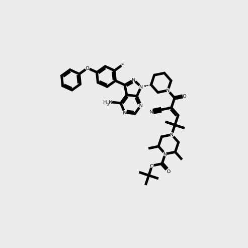 CC1CN(C(C)(C)/C=C(\C#N)C(=O)N2CCC[C@@H](n3nc(-c4ccc(Oc5ccccc5)cc4F)c4c(N)ncnc43)C2)CC(C)N1C(=O)OC(C)(C)C